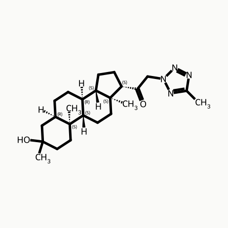 Cc1nnn(CC(=O)[C@H]2CC[C@H]3[C@@H]4CC[C@@H]5CC(C)(O)CC[C@]5(C)[C@H]4CC[C@]23C)n1